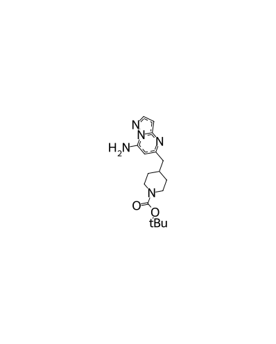 CC(C)(C)OC(=O)N1CCC(Cc2cc(N)n3nccc3n2)CC1